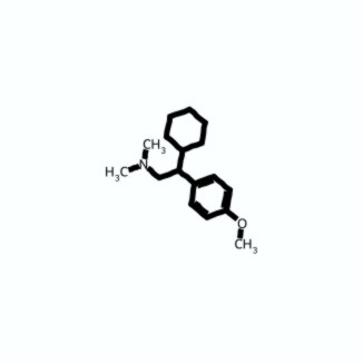 COc1ccc(C(CN(C)C)C2CCCCC2)cc1